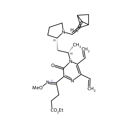 C=Cc1nc(/C(CCC(=O)OCC)=N/OC)c(=O)n([C@@H](C)C[C@@H]2CCCN2C=C2C3CC2C3=C)c1C=C